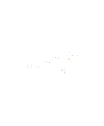 CCCCCCCCCCOS(=O)(=O)[O-].O.[Na+]